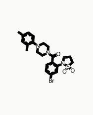 Cc1ccc(N2CCN(C(=O)c3ccc(Br)cc3N3CCCS3(=O)=O)CC2)c(C)c1